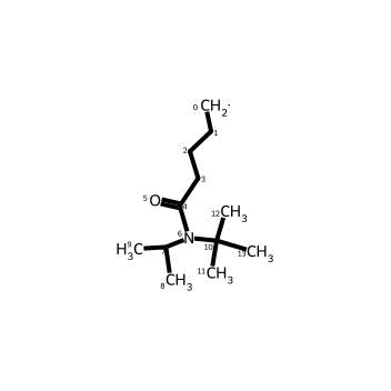 [CH2]CCCC(=O)N(C(C)C)C(C)(C)C